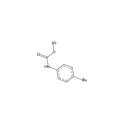 CCC(C)c1ccc(NC(=O)OS)cc1